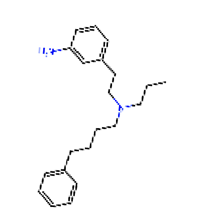 CCCN(CCCCc1ccccc1)CCc1cccc(N)c1